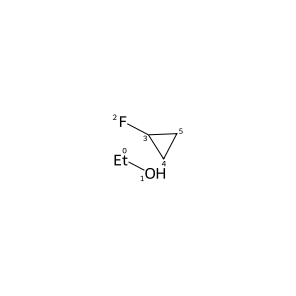 CCO.FC1CC1